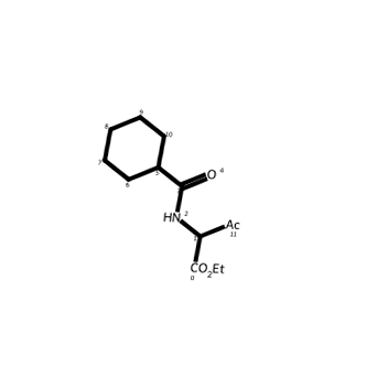 CCOC(=O)C(NC(=O)C1CCCCC1)C(C)=O